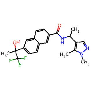 Cc1c(C(C)NC(=O)c2ccc3cc(C(C)(O)C(F)(F)F)ccc3c2)cnn1C